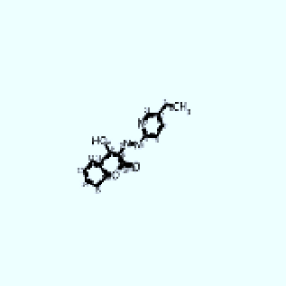 CCc1ccc(N=Nc2c(O)c3ccccc3oc2=O)nc1